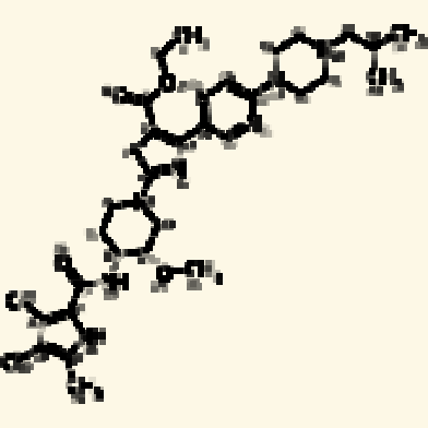 CCOC(=O)c1sc(N2CC[C@@H](NC(=O)c3[nH]c(C)c(Cl)c3Cl)[C@@H](OC)C2)nc1-c1cnc(N2CCN(CC(C)C)CC2)cn1